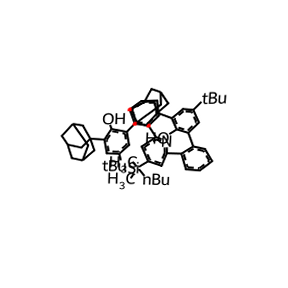 CCCC[Si](C)(C)c1cc(-c2ccccc2-c2cc(C(C)(C)C)cc(C34CC5CC(CC(C5)C3)C4)c2O)nc(-c2ccccc2-c2cc(C(C)(C)C)cc(C34CC5CC(CC(C5)C3)C4)c2O)c1